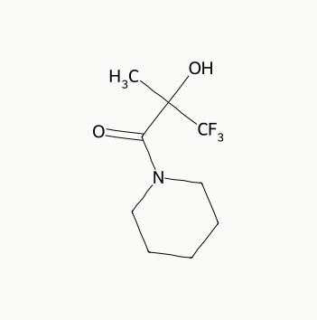 CC(O)(C(=O)N1CCCCC1)C(F)(F)F